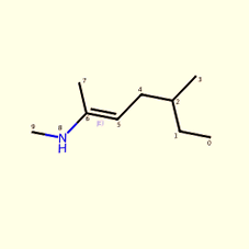 CCC(C)C/C=C(\C)NC